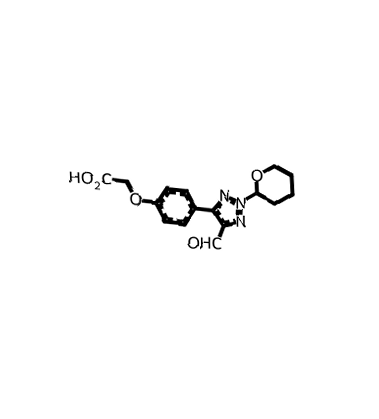 O=Cc1nn(C2CCCCO2)nc1-c1ccc(OCC(=O)O)cc1